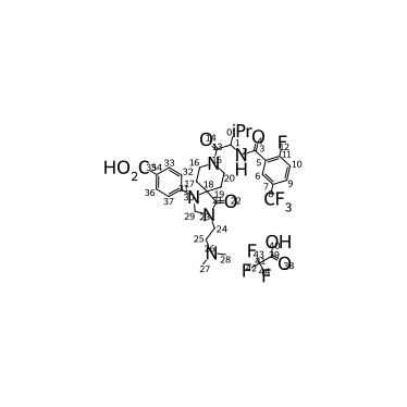 CC(C)C(NC(=O)c1cc(C(F)(F)F)ccc1F)C(=O)N1CCC2(CC1)C(=O)N(CCN(C)C)CN2c1ccc(C(=O)O)cc1.O=C(O)C(F)(F)F